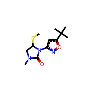 CSC1CN(C)C(=O)N1c1cc(C(C)(C)C)on1